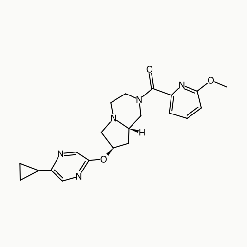 COc1cccc(C(=O)N2CCN3C[C@H](Oc4cnc(C5CC5)cn4)C[C@H]3C2)n1